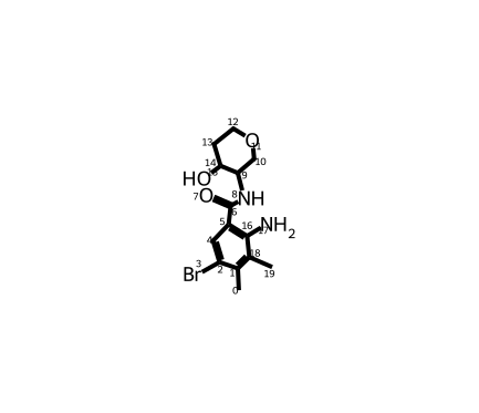 Cc1c(Br)cc(C(=O)NC2COCCC2O)c(N)c1C